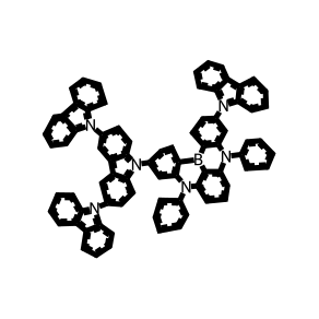 c1ccc(N2c3cc(-n4c5ccccc5c5ccccc54)ccc3B3c4ccc(-n5c6ccc(-n7c8ccccc8c8ccccc87)cc6c6cc(-n7c8ccccc8c8ccccc87)ccc65)cc4N(c4ccccc4)c4cccc2c43)cc1